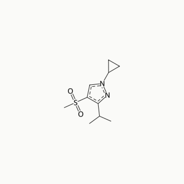 CC(C)c1nn(C2CC2)cc1S(C)(=O)=O